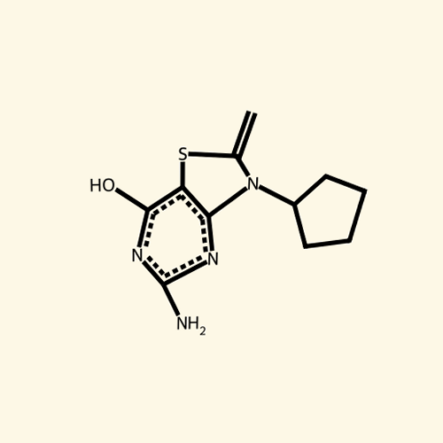 C=C1Sc2c(O)nc(N)nc2N1C1CCCC1